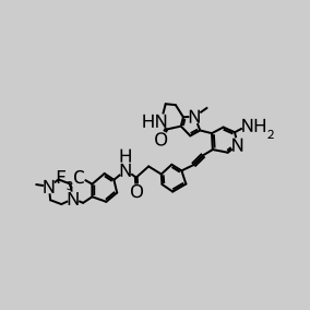 CN1CCN(Cc2ccc(NC(=O)Cc3cccc(C#Cc4cnc(N)cc4-c4cc5c(n4C)CCNC5=O)c3)cc2C(F)(F)F)CC1